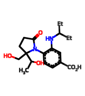 CCC(CC)Nc1cc(C(=O)O)ccc1N1C(=O)CCC1(CO)C(C)O